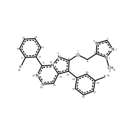 Cn1ncnc1COc1nn2c(-c3ccccc3F)nncc2c1-c1cccc(F)c1